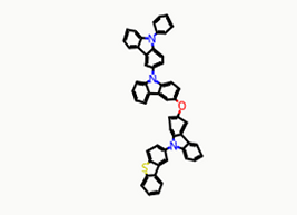 c1ccc(-n2c3ccccc3c3cc(-n4c5ccccc5c5cc(Oc6ccc7c(c6)c6ccccc6n7-c6ccc7sc8ccccc8c7c6)ccc54)ccc32)cc1